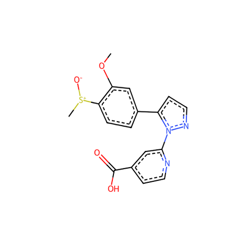 COc1cc(-c2ccnn2-c2cc(C(=O)O)ccn2)ccc1[S+](C)[O-]